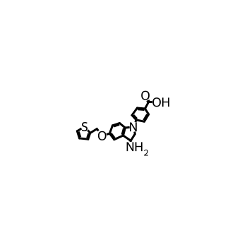 NC1CN(c2ccc(C(=O)O)cc2)c2ccc(OCc3cccs3)cc21